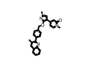 Cc1cc2ccccc2nc1-c1ccc(COc2nn(C)cc2-c2ccn(C)c(=O)c2)cc1